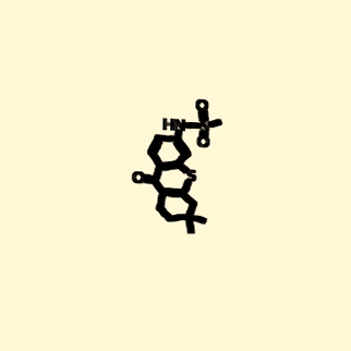 CC1(C)CCc2c(sc3cc(NS(C)(=O)=O)ccc3c2=O)C1